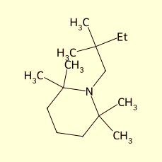 CCC(C)(C)CN1C(C)(C)CCCC1(C)C